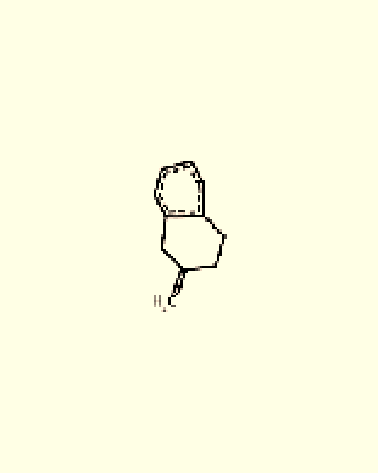 C=C1CCc2ccccc2C1